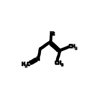 C=NCC(CC)=C(C)C